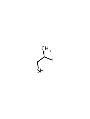 C[C@@H](I)CS